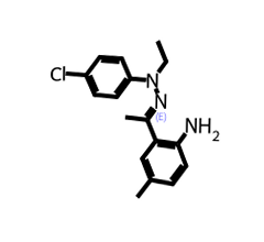 CCN(/N=C(\C)c1cc(C)ccc1N)c1ccc(Cl)cc1